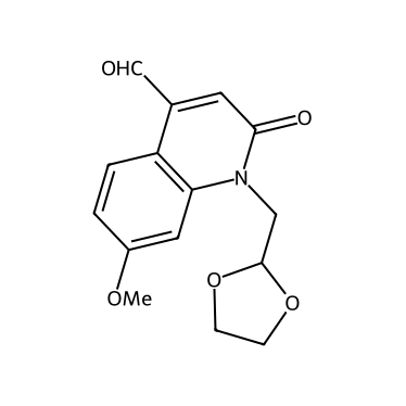 COc1ccc2c(C=O)cc(=O)n(CC3OCCO3)c2c1